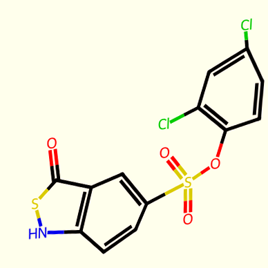 O=c1s[nH]c2ccc(S(=O)(=O)Oc3ccc(Cl)cc3Cl)cc12